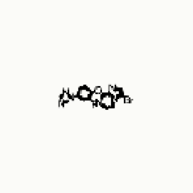 Fc1cc(-n2cncn2)ccc1Oc1nccn2c(Br)cnc12